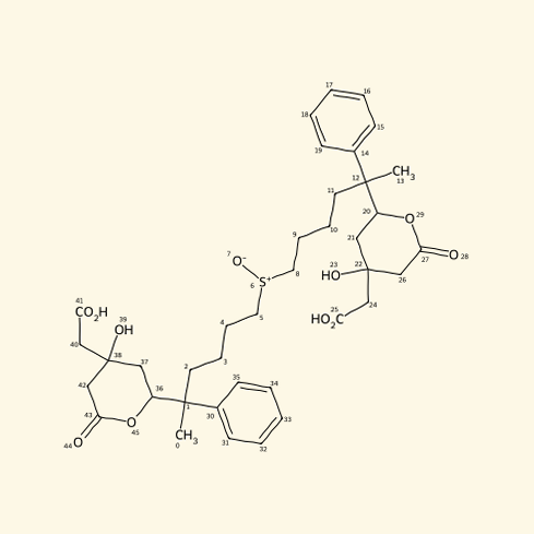 CC(CCCC[S+]([O-])CCCCC(C)(c1ccccc1)C1CC(O)(CC(=O)O)CC(=O)O1)(c1ccccc1)C1CC(O)(CC(=O)O)CC(=O)O1